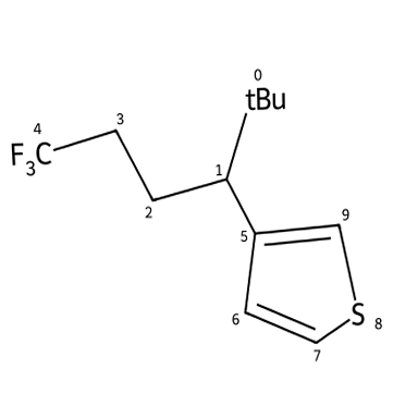 CC(C)(C)C(CCC(F)(F)F)c1ccsc1